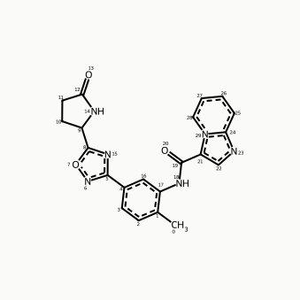 Cc1ccc(-c2noc(C3CCC(=O)N3)n2)cc1NC(=O)c1cnc2ccccn12